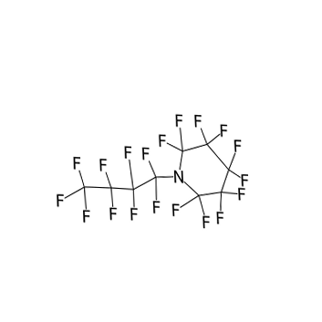 FC(F)(F)C(F)(F)C(F)(F)C(F)(F)N1C(F)(F)C(F)(F)C(F)(F)C(F)(F)C1(F)F